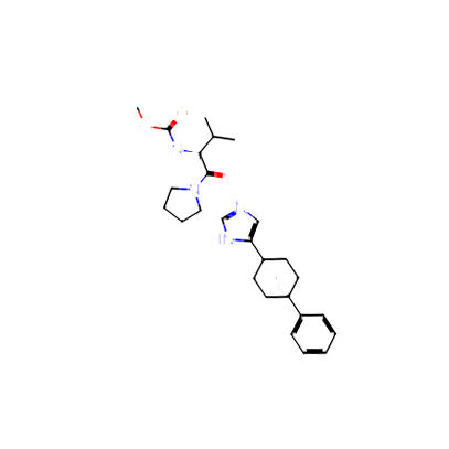 COC(=O)N[C@H](C(=O)N1CCC[C@H]1c1ncc(C23CCC(c4ccccc4)(CC2)CC3)[nH]1)C(C)C